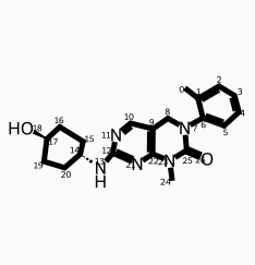 Cc1ccccc1N1Cc2cnc(N[C@H]3CC[C@H](O)CC3)nc2N(C)C1=O